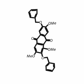 COc1cc2c(cc1OCc1ccccc1)C(=O)c1cc(OC)c(OCc3ccccc3)c(OC)c1C2=O